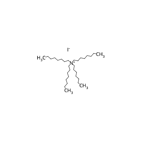 CCCCCCCC[N+](CCCCCCC)(CCCCCCCC)CCCCCCCC.[I-]